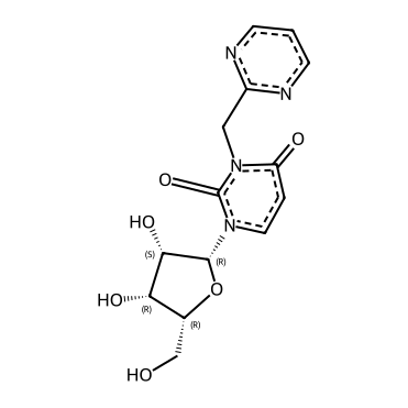 O=c1ccn([C@@H]2O[C@H](CO)[C@H](O)[C@@H]2O)c(=O)n1Cc1ncccn1